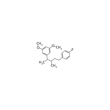 COc1cc(OC)cc(C(C)C(C)CCc2ccc(F)cc2)c1